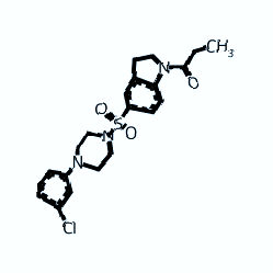 CCC(=O)N1CCc2cc(S(=O)(=O)N3CCN(c4cccc(Cl)c4)CC3)ccc21